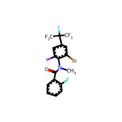 CN(C(=O)c1ccccc1F)c1c(Br)cc(C(F)(C(F)(F)F)C(F)(F)F)cc1I